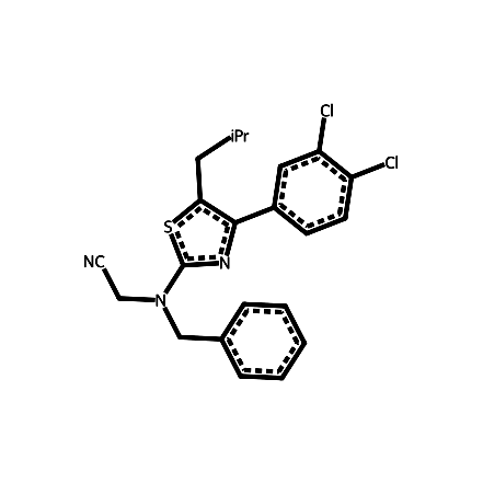 CC(C)Cc1sc(N(CC#N)Cc2ccccc2)nc1-c1ccc(Cl)c(Cl)c1